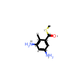 CSC(=O)c1cc(N)cc(N)c1C